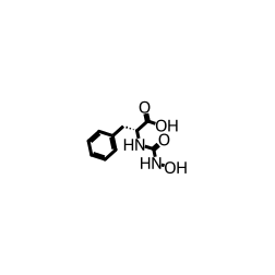 O=C(NO)N[C@H](Cc1ccccc1)C(=O)O